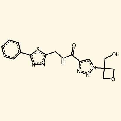 O=C(NCc1nnc(-c2ccccc2)s1)c1cn(C2(CO)COC2)nn1